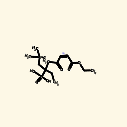 CCOC(=O)/C=C\C(=O)OC(CC)(C[N+](C)(C)C)P(=O)(O)O